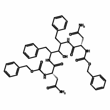 NC(=O)C[C@H](NC(=O)OCc1ccccc1)C(=O)NC(Cc1ccccc1)C(O)C(Cc1ccccc1)NC(=O)[C@H](CC(N)=O)NC(=O)OCc1ccccc1